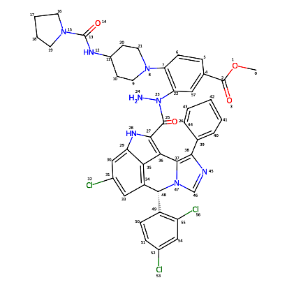 COC(=O)c1ccc(N2CCC(NC(=O)N3CCCC3)CC2)c(N(N)C(=O)c2[nH]c3cc(Cl)cc4c3c2-c2c(-c3ccccc3)ncn2[C@@H]4c2ccc(Cl)cc2Cl)c1